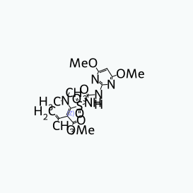 C=C(C)/C(C(=O)OC)=C(\N(C)C)S(=O)(=O)NC(=O)Nc1nc(OC)cc(OC)n1